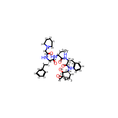 CC(C)C[C@H](NC(=O)[C@H](CCc1ccccc1)NC(=O)CN1CCCCC1)C(=O)N[C@@H](Cc1ccccc1)C(=O)N[C@@H](CC(C)C)C(=O)[C@@]1(C)CO1